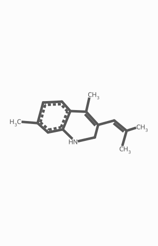 CC(C)=CC1=C(C)c2ccc(C)cc2NC1